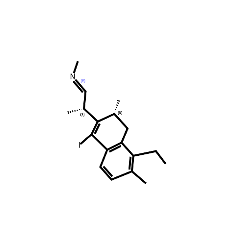 CCc1c(C)ccc2c1C[C@@H](C)C([C@H](C)/C=N/C)=C2I